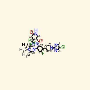 C[C@@H]1CN(c2cc(F)c(C3=CCN(c4ncc(Cl)cn4)CC3)cc2NC(=O)c2c[nH]c(=O)cc2C(F)(F)F)C[C@H](C)N1C